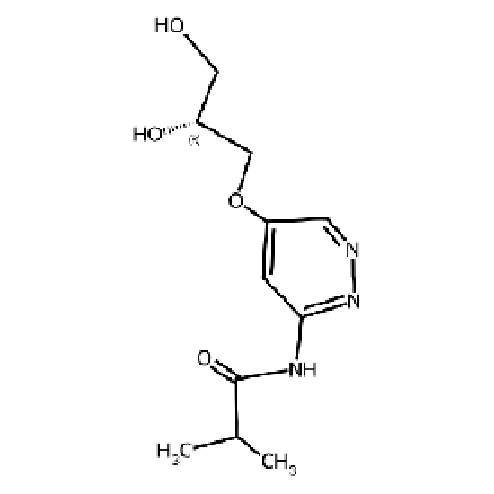 CC(C)C(=O)Nc1cc(OC[C@H](O)CO)cnn1